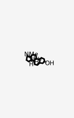 CN[C@H]1CC[C@H]2[C@@H]3CC=C4C[C@H](O)CC[C@]4(C)[C@H]3CC[C@]12C